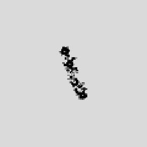 CCc1cc([C@@H](C=O)C(OC)OC(=O)N2CCC(N3CCc4ccccc4NC3=O)CC2)cc(C)c1OCc1ccccc1